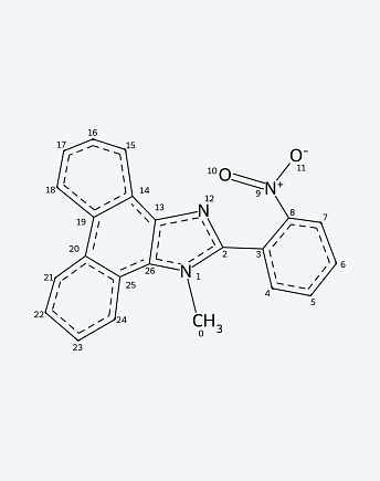 Cn1c(-c2ccccc2[N+](=O)[O-])nc2c3ccccc3c3ccccc3c21